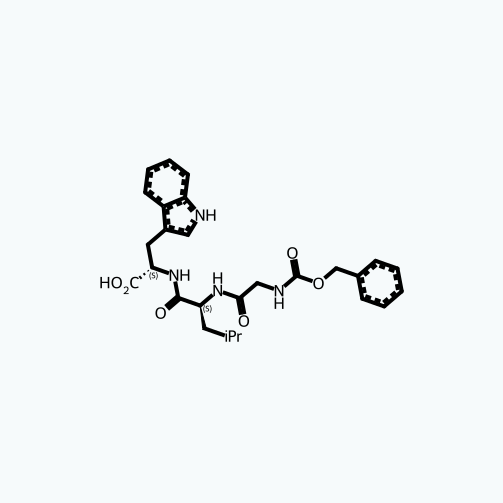 CC(C)C[C@H](NC(=O)CNC(=O)OCc1ccccc1)C(=O)N[C@@H](Cc1c[nH]c2ccccc12)C(=O)O